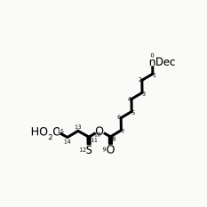 CCCCCCCCCCCCCCCCCC(=O)OC(=S)CCC(=O)O